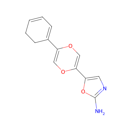 Nc1ncc(C2=COC(C3=CC=CCC3)=CO2)o1